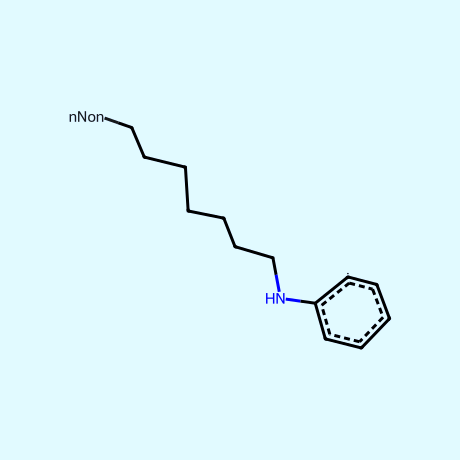 CCCCCCCCCCCCCCCCNc1[c]cccc1